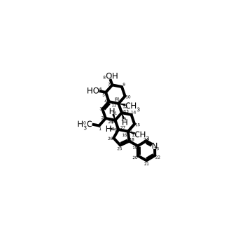 CCC1C=C2C(O)C(O)CC[C@]2(C)[C@@H]2CC[C@]3(C)C(c4cccnc4)=CC[C@H]3[C@H]12